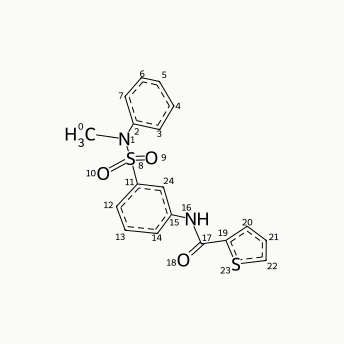 CN(c1ccccc1)S(=O)(=O)c1cccc(NC(=O)c2cccs2)c1